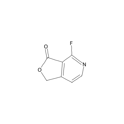 O=C1OCc2ccnc(F)c21